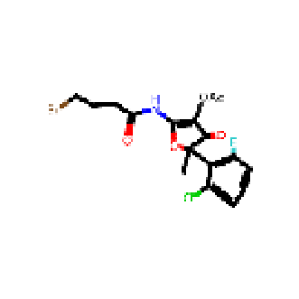 CC(=O)OC1=C(NC(=O)CCCBr)OC(C)(c2c(F)cccc2Cl)C1=O